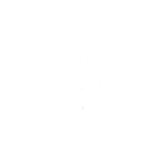 CC/C(=C(\OS(=O)(=O)c1ccc(C)cc1)c1ccc(/C=C/C(=O)OC(C)(C)C)cc1)c1ccc(F)cc1Cl